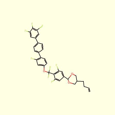 C=CCCC1COC(c2cc(F)c(C(F)(F)Oc3ccc(-c4ccc(-c5cc(F)c(F)c(F)c5)cc4)c(F)c3)c(F)c2)OC1